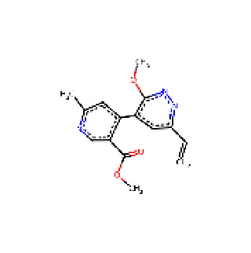 C=Cc1cc(-c2cc(C)ncc2C(=O)OC)c(OC)nn1